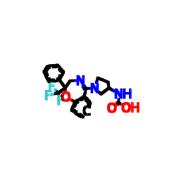 O=C(O)NC1CCN(C2=NCC(c3ccccc3)(C(F)(F)F)Oc3ccccc32)C1